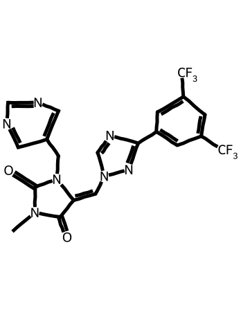 CN1C(=O)C(=Cn2cnc(-c3cc(C(F)(F)F)cc(C(F)(F)F)c3)n2)N(Cc2cncnc2)C1=O